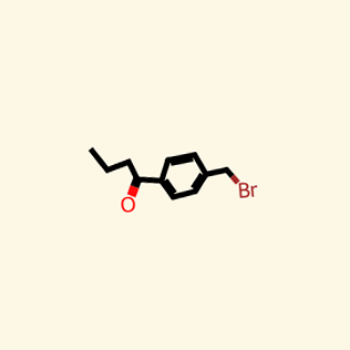 CCCC(=O)c1ccc(CBr)cc1